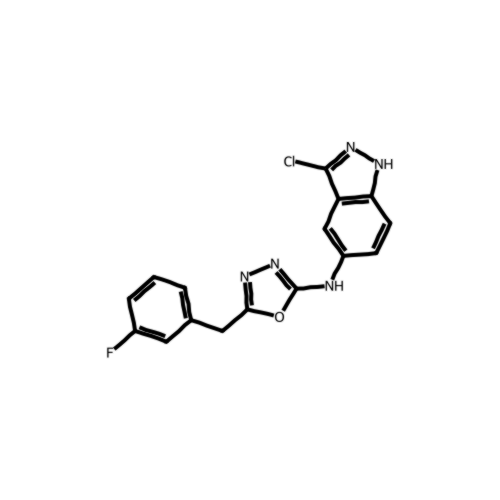 Fc1cccc(Cc2nnc(Nc3ccc4[nH]nc(Cl)c4c3)o2)c1